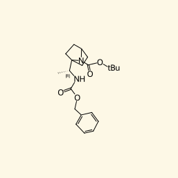 C[C@@H](NC(=O)OCc1ccccc1)C12CCC(CC1)N2C(=O)OC(C)(C)C